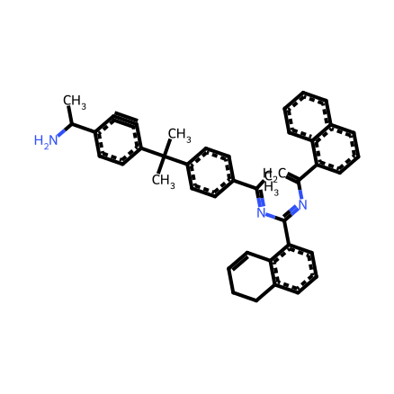 C=C(/N=C(\N=C(/C)c1ccc(C(C)(C)c2c#cc(C(C)N)cc2)cc1)c1cccc2c1C=CCC2)c1cccc2ccccc12